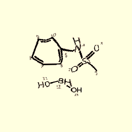 CS(=O)(=O)Nc1ccccc1.OBO